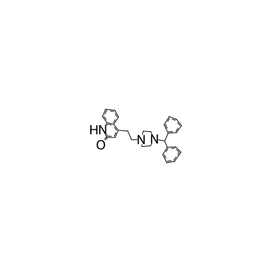 O=c1cc(CCN2CCN(C(c3ccccc3)c3ccccc3)CC2)c2ccccc2[nH]1